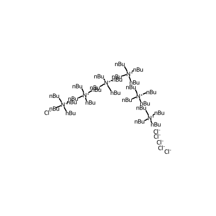 CCCC[N+](CCCC)(CCCC)CCCC.CCCC[N+](CCCC)(CCCC)CCCC.CCCC[N+](CCCC)(CCCC)CCCC.CCCC[N+](CCCC)(CCCC)CCCC.CCCC[N+](CCCC)(CCCC)CCCC.CCCC[N+](CCCC)(CCCC)CCCC.[Cl-].[Cl-].[Cl-].[Cl-].[Cl-].[Cl-]